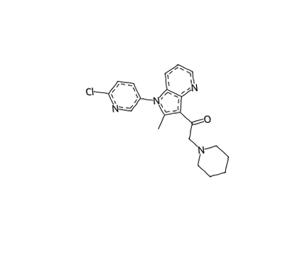 Cc1c(C(=O)CN2CCCCC2)c2ncccc2n1-c1ccc(Cl)nc1